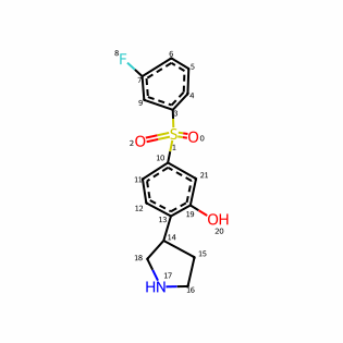 O=S(=O)(c1cccc(F)c1)c1ccc(C2CCNC2)c(O)c1